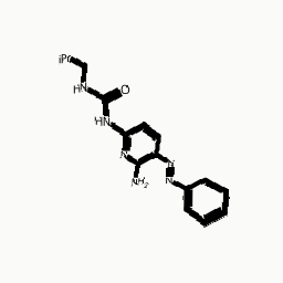 CC(C)CNC(=O)Nc1ccc(N=Nc2ccccc2)c(N)n1